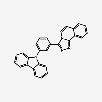 c1cc(-c2nnc3c4ccccc4ccn23)cc(-n2c3ccccc3c3ccccc32)c1